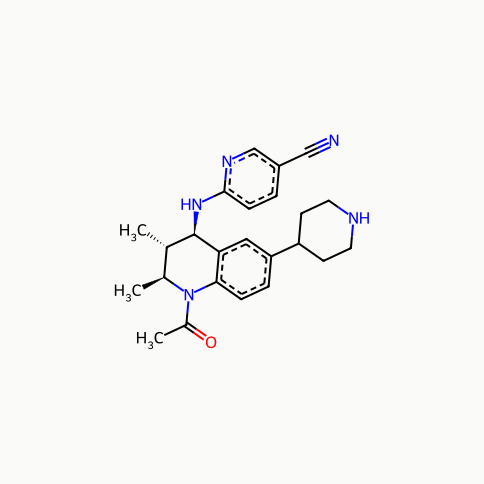 CC(=O)N1c2ccc(C3CCNCC3)cc2[C@H](Nc2ccc(C#N)cn2)[C@@H](C)[C@@H]1C